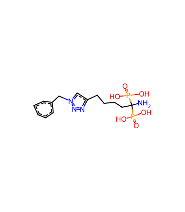 NC(CCCCc1cn(Cc2ccccc2)nn1)(P(=O)(O)O)P(=O)(O)O